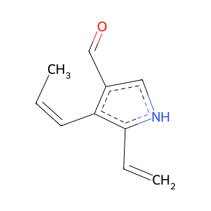 C=Cc1[nH]cc(C=O)c1/C=C\C